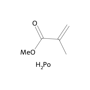 C=C(C)C(=O)OC.[PoH2]